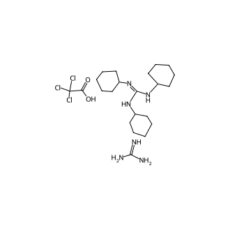 C1CCC(N=C(NC2CCCCC2)NC2CCCCC2)CC1.N=C(N)N.O=C(O)C(Cl)(Cl)Cl